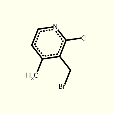 Cc1ccnc(Cl)c1CBr